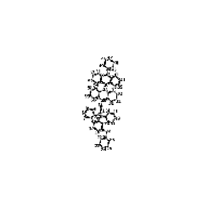 C(#C[Si](c1ccccc1)(c1ccccc1)c1cccc(Cc2ccccc2)c1)C1=C2C=CCCC2C(c2c3ccccc3c(-c3ccccc3)c3ccccc23)c2ccccc21